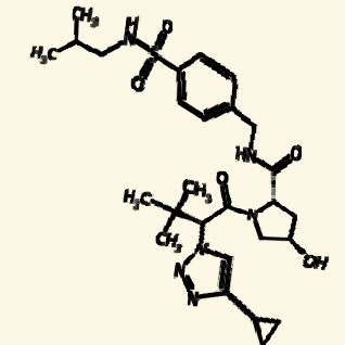 CC(C)CNS(=O)(=O)c1ccc(CNC(=O)[C@@H]2C[C@@H](O)CN2C(=O)[C@@H](n2cc(C3CC3)nn2)C(C)(C)C)cc1